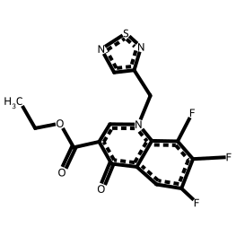 CCOC(=O)c1cn(Cc2cnsn2)c2c(F)c(F)c(F)cc2c1=O